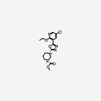 CCOc1ncc(Cl)cc1-c1nnc([C@H]2CCC[C@@H](C(=O)OC)C2)o1